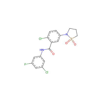 O=C(Nc1cc(F)cc(Cl)c1)c1cc(N2CCCS2(=O)=O)ccc1Cl